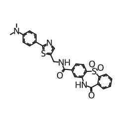 CN(C)c1ccc(-c2ncc(CNC(=O)c3ccc4c(c3)NC(=O)c3ccccc3S4(=O)=O)s2)cc1